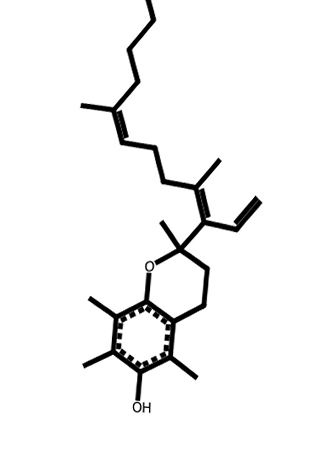 C=CC(=C(C)CCC=C(C)CCCC(C)C)C1(C)CCc2c(C)c(O)c(C)c(C)c2O1